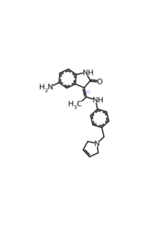 C/C(Nc1ccc(CN2CC=CC2)cc1)=C1/C(=O)Nc2ccc(N)cc21